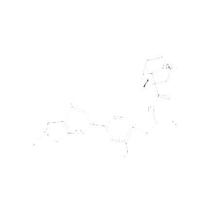 C[C@H](c1ccc(-c2ccc3c(c2)CN(C)C3)cc1F)[C@@H](C#N)NC(=O)[C@H]1NC2CCC1CC2